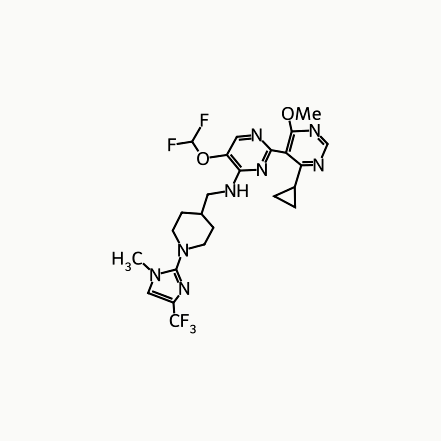 COc1ncnc(C2CC2)c1-c1ncc(OC(F)F)c(NCC2CCN(c3nc(C(F)(F)F)cn3C)CC2)n1